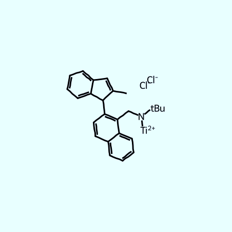 CC1=Cc2ccccc2C1c1ccc2ccccc2c1C[N]([Ti+2])C(C)(C)C.[Cl-].[Cl-]